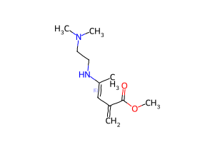 C=C(/C=C(\C)NCCN(C)C)C(=O)OC